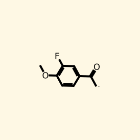 [CH2]C(=O)c1ccc(OC)c(F)c1